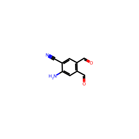 N#Cc1cc(C=O)c(C=O)cc1N